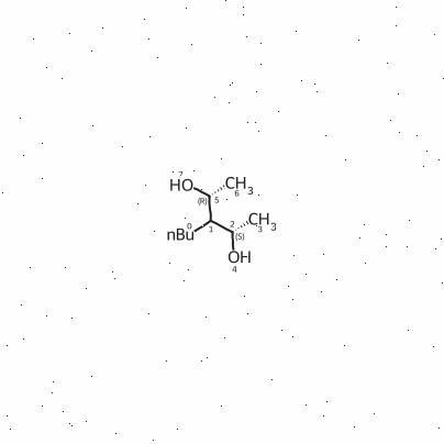 CCCCC([C@H](C)O)[C@@H](C)O